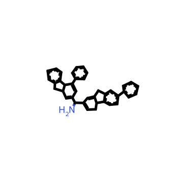 NC(C1=CCC2C(=C1)Cc1cc(-c3ccccc3)ccc12)C1=CC2Cc3ccccc3C2C(c2ccccc2)=C1